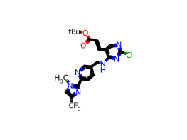 Cn1cc(C(F)(F)F)nc1-c1ccc(CNc2nc(Cl)ncc2/C=C/C(=O)OC(C)(C)C)cn1